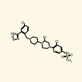 CCC1CN(c2ncc(NS(C)(=O)=O)cc2Cl)CCN1C1CCN(Cc2ccc(Cl)cc2-c2nnn[nH]2)CC1